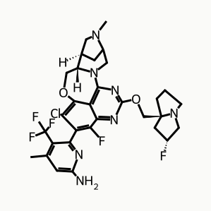 Cc1cc(N)nc(-c2c(Cl)c3c4c(nc(OC[C@@]56CCCN5C[C@H](F)C6)nc4c2F)N2CC4C[C@H](CN4C)[C@H]2CO3)c1C(F)(F)F